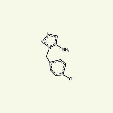 Nc1cnnn1Cc1ccc(Cl)cc1